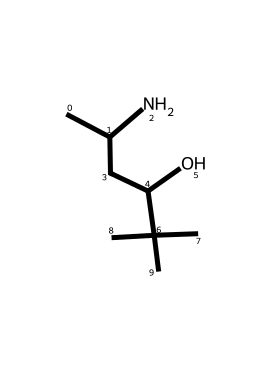 CC(N)CC(O)C(C)(C)C